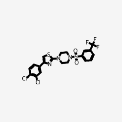 O=S(=O)(c1cccc(C(F)(F)F)c1)N1CCN(c2nc(-c3ccc(Cl)c(Cl)c3)cs2)CC1